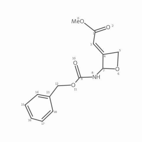 COC(=O)C=C1COC1NC(=O)OCc1ccccc1